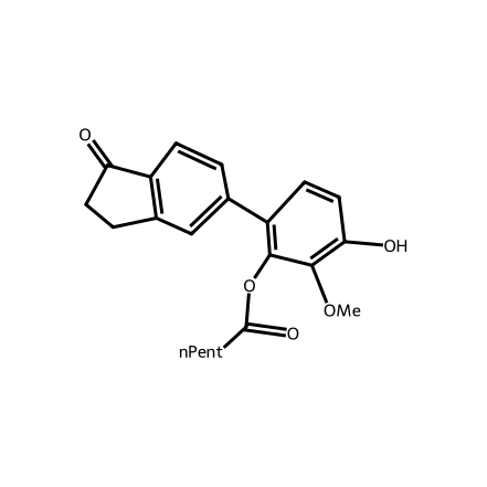 CCCCCC(=O)Oc1c(-c2ccc3c(c2)CCC3=O)ccc(O)c1OC